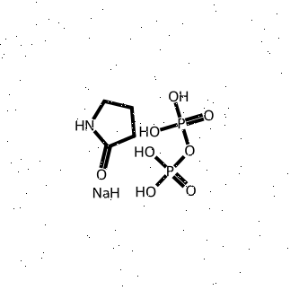 O=C1CCCN1.O=P(O)(O)OP(=O)(O)O.[NaH]